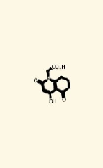 O=C(O)Cn1c2c(c(O)cc1=O)C(=O)CCC2